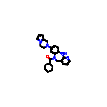 O=C(C1CCCCC1)N1Cc2cccnc2Nc2ccc(N3CCn4cccc4C3)cc21